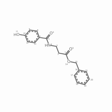 O=C(CCNC(=O)c1ccc(O)cc1)OCc1ccccc1